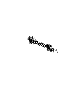 COC(=O)N[C@@H](C)C(=O)N1CCC[C@H]1c1nc2cc(-c3ccc4cc(-c5ccc6[nH]c([C@@H]7CCCN7C(=O)[C@H](C)N(C)C(=O)O)nc6c5)ccc4c3)ccc2[nH]1